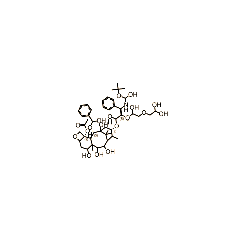 CC(=O)O[C@@]12COC1CC(O)C1(C)C(O)C(O)C3C(C)[C@@H](OC(O)[C@H](OC(O)COCC(O)O)C(NC(O)OC(C)(C)C)c4ccccc4)CC(O)([C@@H](OC(O)c4ccccc4)[C@@H]12)C3(C)C